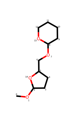 COC1CCC(COC2CCCCO2)O1